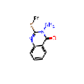 CCSc1nc2ccccc2c(=O)n1N